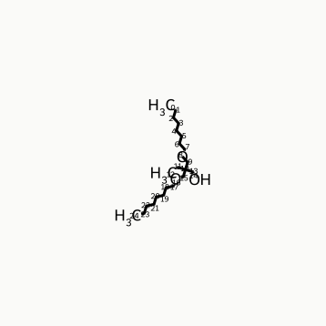 CCCCCCCCOCC(CC)(CO)COCCCCCCCC